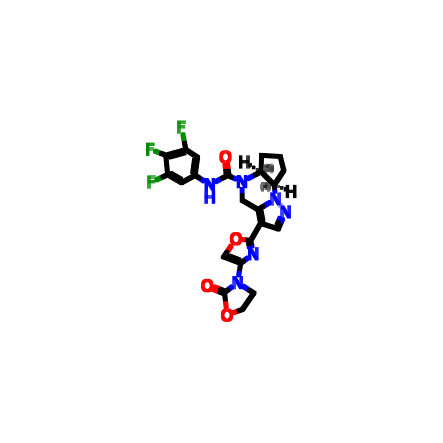 O=C1OCCN1c1coc(-c2cnn3c2CN(C(=O)Nc2cc(F)c(F)c(F)c2)[C@H]2CCC[C@H]23)n1